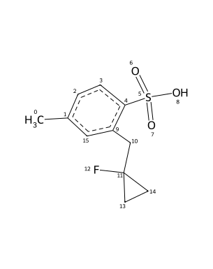 Cc1ccc(S(=O)(=O)O)c(CC2(F)CC2)c1